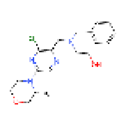 C[C@@H]1COCCN1c1cnc(CN(CCO)Cc2ccccc2)c(Cl)n1